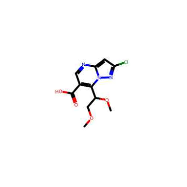 COCC(OC)c1c(C(=O)O)cnc2cc(Cl)nn12